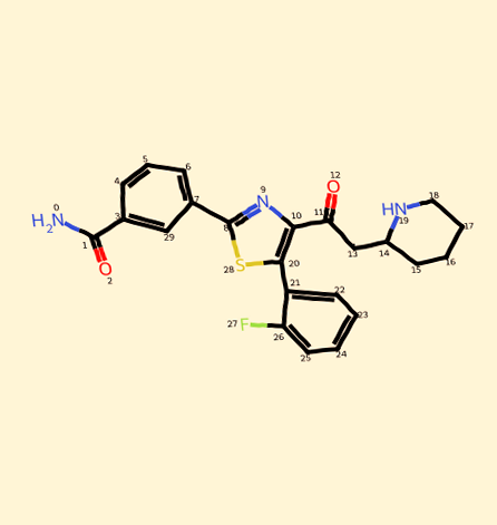 NC(=O)c1cccc(-c2nc(C(=O)[CH]C3CCCCN3)c(-c3ccccc3F)s2)c1